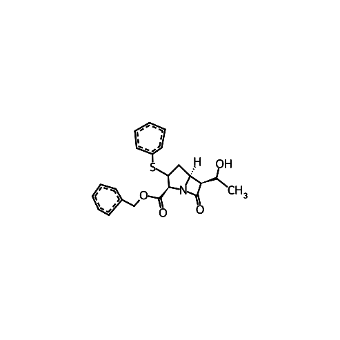 CC(O)[C@H]1C(=O)N2[C@@H](C(=O)OCc3ccccc3)C(Sc3ccccc3)C[C@@H]12